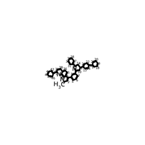 Cc1cc(-c2cccc(C3=CC(c4ccc(-c5ccccc5)cc4)CC(c4ccccc4)=N3)c2)c2ccc3ccc(-c4ccccc4)nc3c2n1